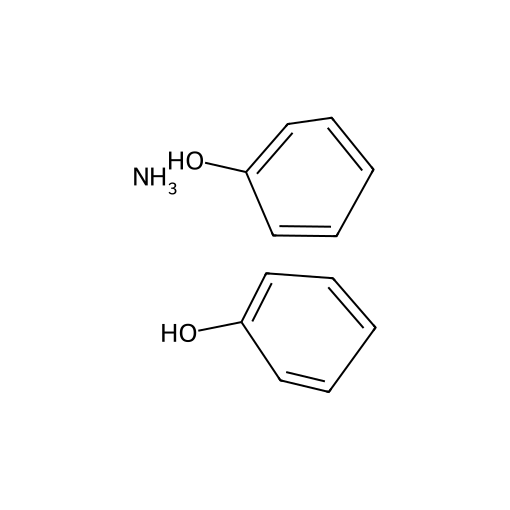 N.Oc1ccccc1.Oc1ccccc1